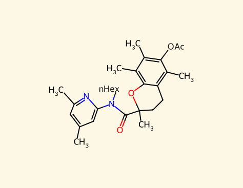 CCCCCCN(C(=O)C1(C)CCc2c(C)c(OC(C)=O)c(C)c(C)c2O1)c1cc(C)cc(C)n1